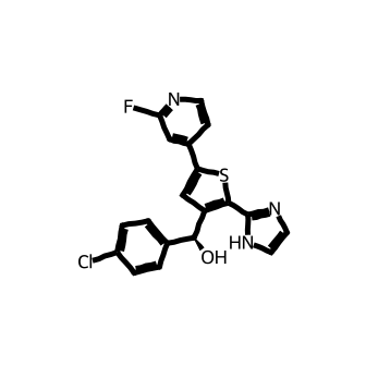 O[C@@H](c1ccc(Cl)cc1)c1cc(-c2ccnc(F)c2)sc1-c1ncc[nH]1